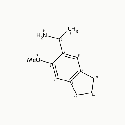 COc1cc2c(cc1C(C)N)CCC2